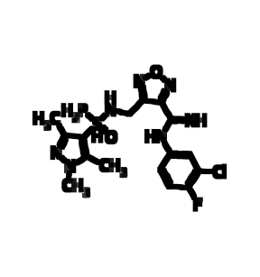 Cc1nn(C)c(C)c1[SH](=O)(P)NCc1nonc1C(=N)Nc1ccc(F)c(Cl)c1